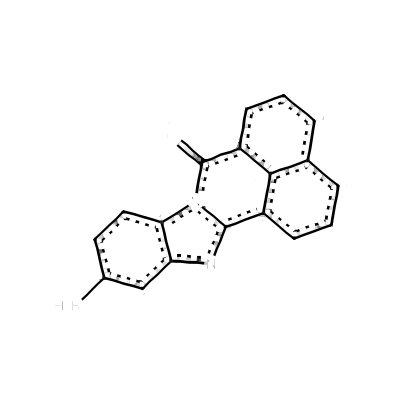 Bc1ccc2c(c1)nc1c3cccc4cccc(c(=O)n21)c43